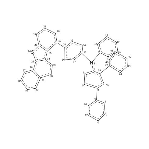 c1ccc(-c2ccc(N(c3ccccc3)c3ccc(-c4cccc5sc6c7ccccc7ccc6c45)cc3)c(-c3ccccc3)c2)cc1